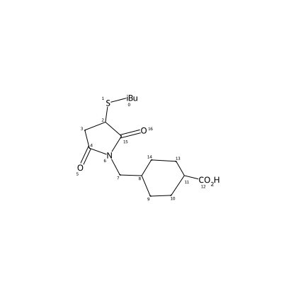 CCC(C)SC1CC(=O)N(CC2CCC(C(=O)O)CC2)C1=O